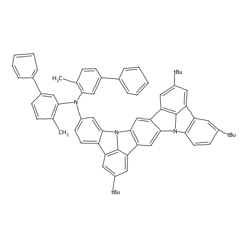 Cc1ccc(-c2ccccc2)cc1N(c1ccc2c3cc(C(C)(C)C)cc4c5cc6c(cc5n(c2c1)c34)c1cc(C(C)(C)C)cc2c3cc(C(C)(C)C)ccc3n6c21)c1cc(-c2ccccc2)ccc1C